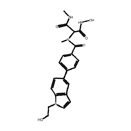 CNC(=O)C(C(=O)NO)N(C)C(=O)c1ccc(-c2ccc3c(ccn3CCO)c2)cc1